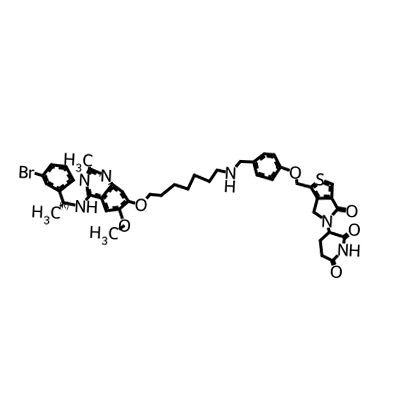 COc1cc2c(N[C@H](C)c3cccc(Br)c3)nc(C)nc2cc1OCCCCCCCNCc1ccc(OCc2scc3c2CN(C2CCC(=O)NC2=O)C3=O)cc1